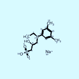 CCN(C[C@H](O)CS(=O)(=O)[O-])c1cc(C)cc(C)c1.[Na+]